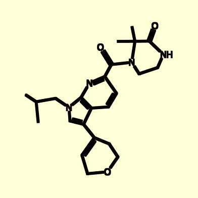 CC(C)Cn1cc(C2=CCOCC2)c2ccc(C(=O)N3CCNC(=O)C3(C)C)nc21